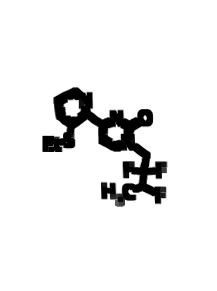 CCSc1cccnc1-c1ccn(CC(F)(F)C(C)F)c(=O)n1